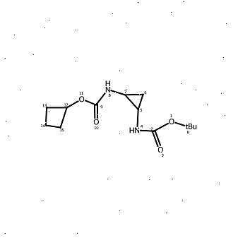 CC(C)(C)OC(=O)NC1CC1NC(=O)OC1CCC1